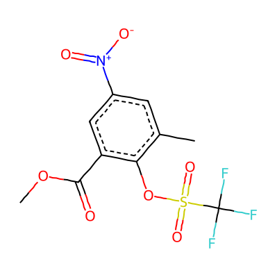 COC(=O)c1cc([N+](=O)[O-])cc(C)c1OS(=O)(=O)C(F)(F)F